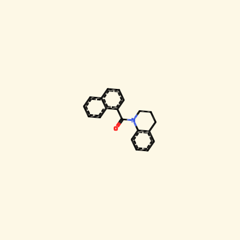 O=C(c1cccc2ccccc12)N1CCCc2ccccc21